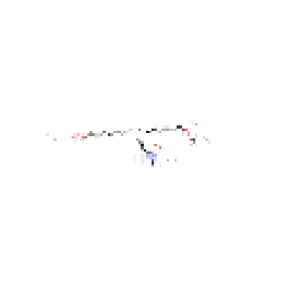 CCCCCCCCCOC(=O)CCCCCCCN(CCCCCCCC(=O)OC(CCCCCCCC)CCCCCCCC)CCCC(=O)NOC